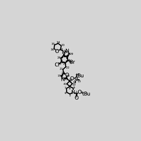 CC(C)(C)OC(=O)N1CCCC2(C1)CC(O[Si](C)(C)C(C)(C)C)(c1ncc(CCc3c(Cl)cc4c(cnn4C4CCCCO4)c3Br)o1)C2